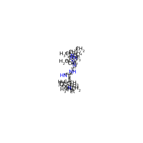 C=Cc1cccc(NCc2cn(CCCN/C=C(/C#C/C(C)=C(C)/C(C(=C)c3ccccc3)=C(\C)N(C)C(=C)CC)C=N)cn2)c1CN(C)C(CCC(=C)C)C(=C)C